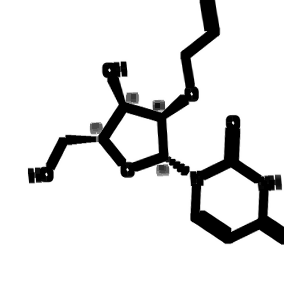 C=CCO[C@@H]1[C@H](O)[C@@H](CO)O[C@H]1n1ccc(=O)[nH]c1=O